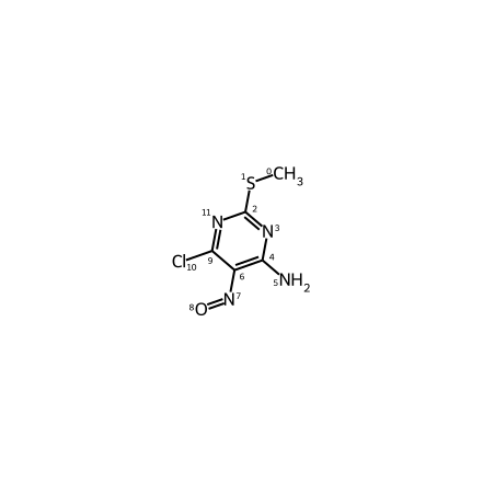 CSc1nc(N)c(N=O)c(Cl)n1